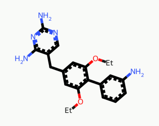 CCOc1cc(Cc2cnc(N)nc2N)cc(OCC)c1-c1cccc(N)c1